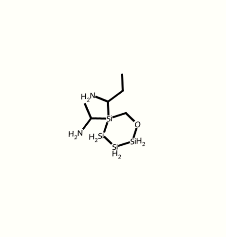 CCC(N)[Si]1(C(C)N)CO[SiH2][SiH2][SiH2]1